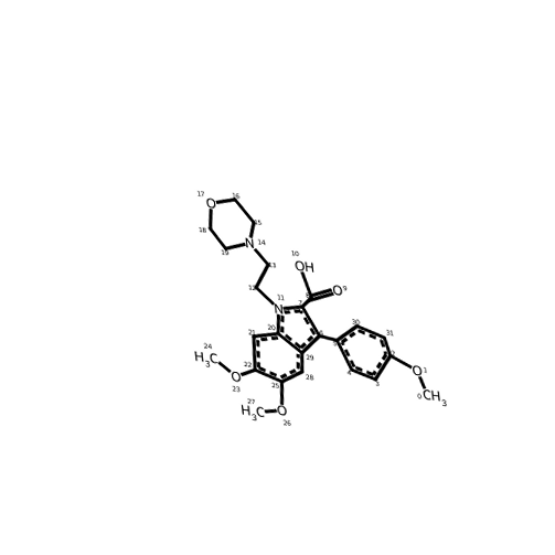 COc1ccc(-c2c(C(=O)O)n(CCN3CCOCC3)c3cc(OC)c(OC)cc23)cc1